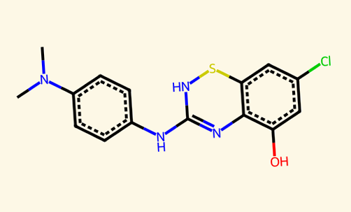 CN(C)c1ccc(NC2=Nc3c(O)cc(Cl)cc3SN2)cc1